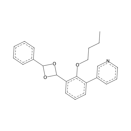 CCCCOc1c(-c2cccnc2)cccc1C1OC(c2ccccc2)O1